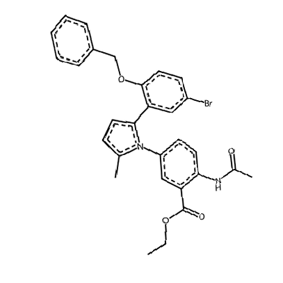 CCOC(=O)c1cc(-n2c(C)ccc2-c2cc(Br)ccc2OCc2ccccc2)ccc1NC(C)=O